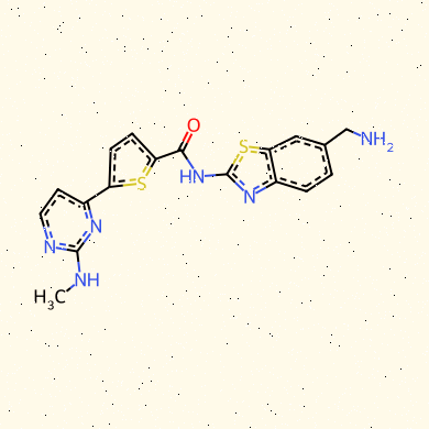 CNc1nccc(-c2ccc(C(=O)Nc3nc4ccc(CN)cc4s3)s2)n1